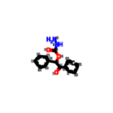 NNC(=O)OC(C(=O)c1ccccc1)c1ccccc1